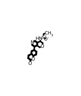 CC[S+]([O-])NC1COCc2c(-c3ccc4oc(=O)ccc4c3)cncc21